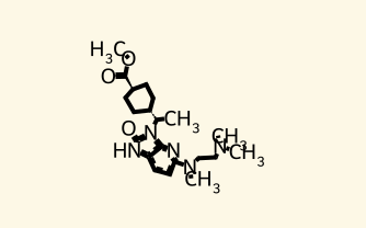 COC(=O)[C@H]1CC[C@H](C(C)n2c(=O)[nH]c3ccc(N(C)CCN(C)C)nc32)CC1